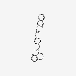 c1cnc2c(c1)CCCC2NCc1ccc(CNCc2cc3ccccc3cn2)cc1